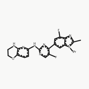 Cc1nc2c(F)cc(-c3nc(Nc4ccc5c(n4)NCCO5)ncc3F)cc2n1C(C)C